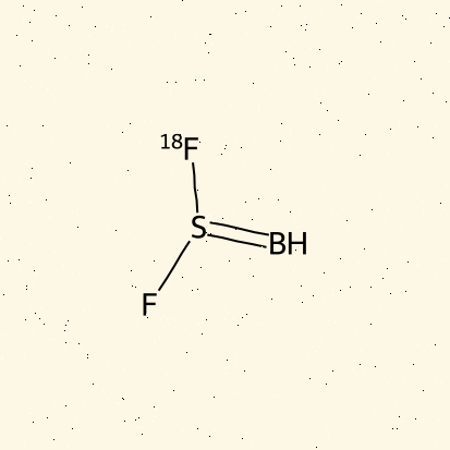 B=S(F)[18F]